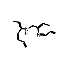 C=C/C=C\C(=C/C)NCC(=C/C)/N=C\C=C